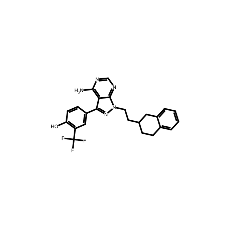 Nc1ncnc2c1c(-c1ccc(O)c(C(F)(F)F)c1)nn2CCC1CCc2ccccc2C1